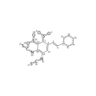 O=S(=O)=C1C(C=Cc2ccccc2)=CC(N=C=S)=C(N=C=S)C1=S(=O)=O